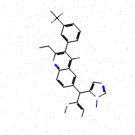 CCc1nc2ccc(C(/C(=C/N)NC)c3cncn3C)cc2c(Cl)c1-c1cccc(C(C)(F)F)c1